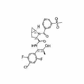 C[C@H](O)[C@@H](NC(=O)[C@H]1CC2C[C@H]2N1C(=O)c1cccc(S(C)(=O)=O)c1)c1cc(F)c(Cl)cc1F